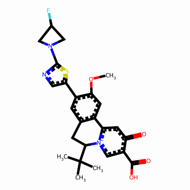 COc1cc2c(cc1-c1cnc(N3CC(F)C3)s1)CC(C(C)(C)C)n1cc(C(=O)O)c(=O)cc1-2